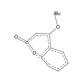 CCC(C)Oc1cc(=O)oc2ccccc12